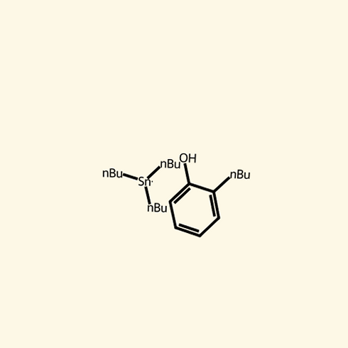 CCCCc1ccccc1O.CCC[CH2][Sn]([CH2]CCC)[CH2]CCC